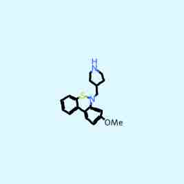 COc1ccc2c(c1)N(CC1CCNCC1)Sc1ccccc1-2